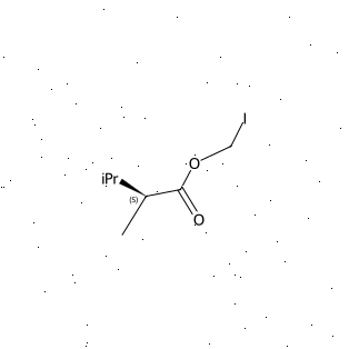 CC(C)[C@H](C)C(=O)OCI